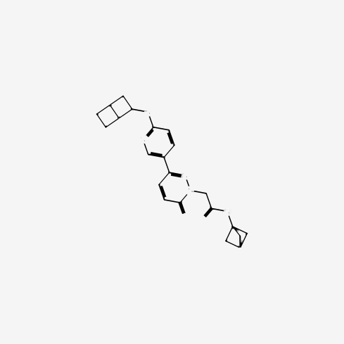 O=C(Cn1nc(-c2ccc(NC3CC4CCC43)nc2)ccc1=O)NC12CC(C1)C2